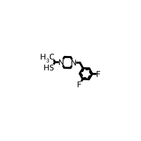 CC(S)N1CCN(Cc2cc(F)cc(F)c2)CC1